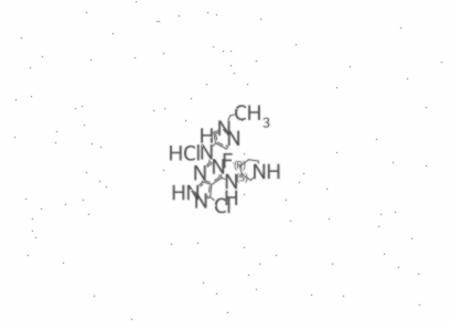 CCn1cc(Nc2nc(N[C@H]3CNCC[C@H]3F)c3c(Cl)n[nH]c3n2)cn1.Cl